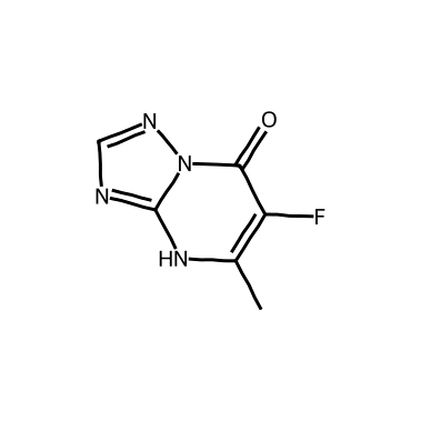 Cc1[nH]c2ncnn2c(=O)c1F